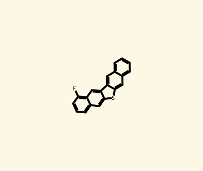 Fc1cccc2cc3sc4cc5ccccc5cc4c3cc12